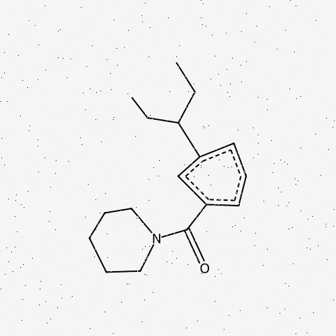 CCC(CC)c1cccc(C(=O)N2CCCCC2)c1